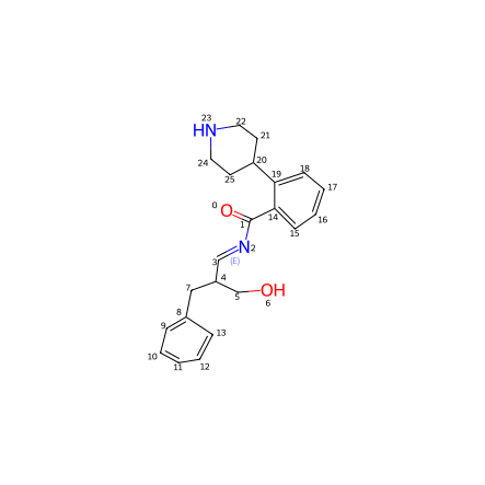 O=C(/N=C/C(CO)Cc1ccccc1)c1ccccc1C1CCNCC1